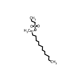 CCCCCCCCCCCC[S+](C)OS(=O)(=O)CCC